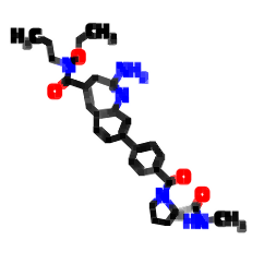 CCCN(OCC)C(=O)C1=Cc2ccc(-c3ccc(C(=O)N4CCC[C@H]4C(=O)NC)cc3)cc2N=C(N)C1